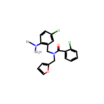 CCN(c1ccc(Cl)cc1CN(Cc1ccco1)C(=O)c1ccccc1Cl)S(=O)(=O)O